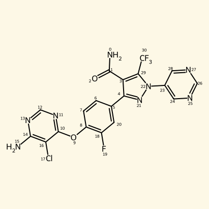 NC(=O)c1c(-c2ccc(Oc3ncnc(N)c3Cl)c(F)c2)nn(-c2cncnc2)c1C(F)(F)F